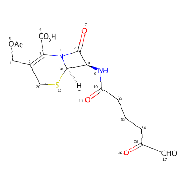 CC(=O)OCC1=C(C(=O)O)N2C(=O)[C@@H](NC(=O)CCCC(=O)C=O)[C@H]2SC1